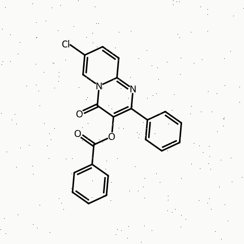 O=C(Oc1c(-c2ccccc2)nc2ccc(Cl)cn2c1=O)c1ccccc1